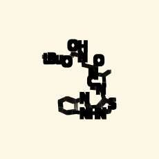 CC1CN(c2scnc2-c2nc3ccccc3[nH]2)CCN1C(=O)CNC(=O)OC(C)(C)C